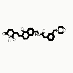 O=C(Cc1cccc(CN2CCOCC2)c1)NCc1ccc2c(c1)CCC(CCC1CCC(=O)NC1=O)C2=O